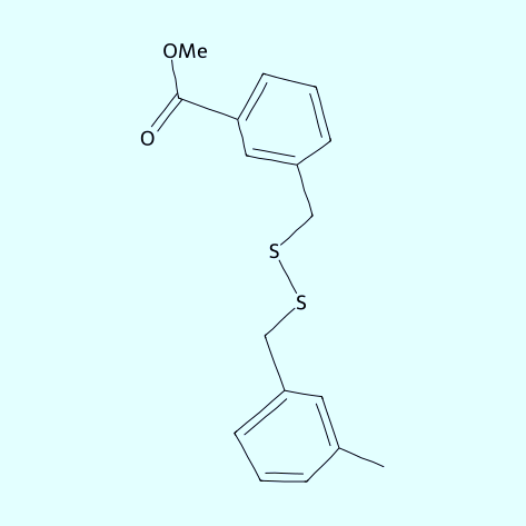 COC(=O)c1cccc(CSSCc2cccc(C)c2)c1